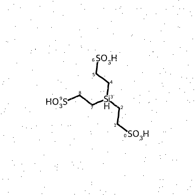 O=S(=O)(O)CC[SiH](CCS(=O)(=O)O)CCS(=O)(=O)O